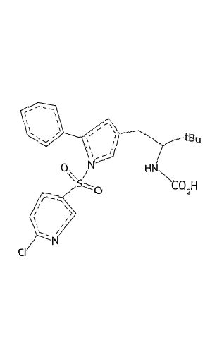 CC(C)(C)C(Cc1cc(-c2ccccc2)n(S(=O)(=O)c2ccc(Cl)nc2)c1)NC(=O)O